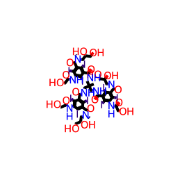 CN(CC(O)CO)C(=O)c1c(I)c(NC(=O)CO)c(I)c(C(=O)NCC(C)(CNC(=O)c2c(I)c(NC(=O)CO)c(I)c(C(=O)N(C)CC(O)CO)c2I)CNC(=O)c2c(I)c(NC(=O)CO)c(I)c(C(=O)N(C)CC(O)CO)c2I)c1I